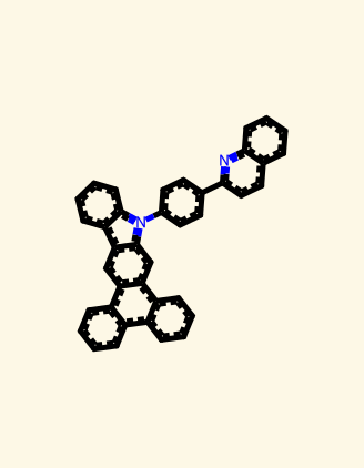 c1ccc2nc(-c3ccc(-n4c5ccccc5c5cc6c7ccccc7c7ccccc7c6cc54)cc3)ccc2c1